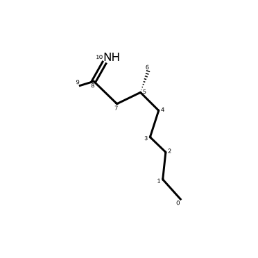 CCCCC[C@@H](C)CC(C)=N